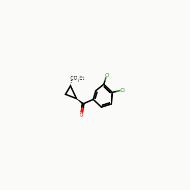 CCOC(=O)[C@H]1C[C@@H]1C(=O)c1ccc(Cl)c(Cl)c1